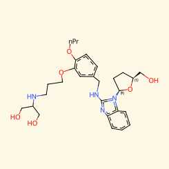 CCCOc1ccc(CNc2nc3ccccc3n2[C@H]2CC[C@@H](CO)O2)cc1OCCCNC(CO)CO